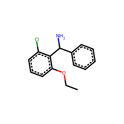 CCOc1cccc(Cl)c1C(N)c1ccccc1